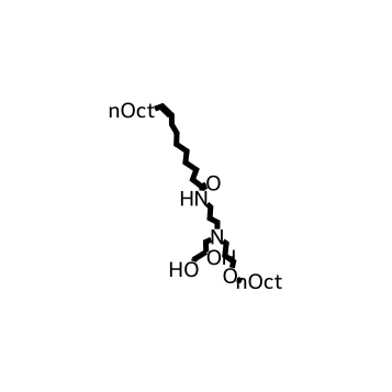 CCCCCCCC/C=C\CCCCCCCC(=O)NCCCN(CCCOCCCCCCCC)CC(O)CO